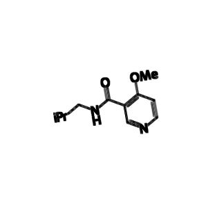 COc1ccncc1C(=O)NCC(C)C